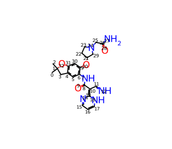 CC1(C)Cc2cc(NC(=O)/C(C=N)=C3\N=CC=CN3)c(O[C@@H]3CCN(CC(N)=O)C3)cc2O1